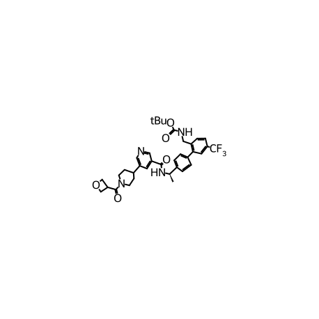 C[C@@H](NC(=O)c1cncc(C2CCN(C(=O)C3COC3)CC2)c1)c1ccc(-c2cc(C(F)(F)F)ccc2CNC(=O)OC(C)(C)C)cc1